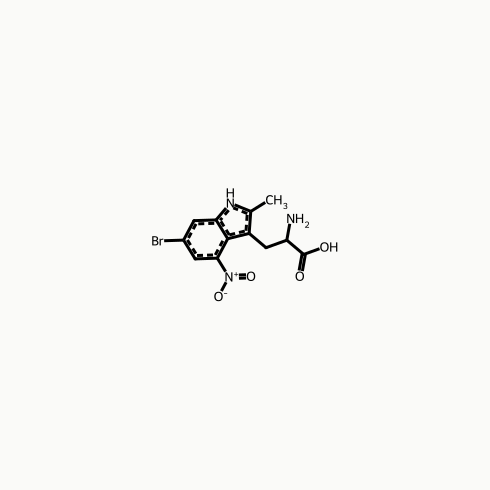 Cc1[nH]c2cc(Br)cc([N+](=O)[O-])c2c1CC(N)C(=O)O